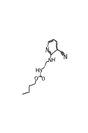 CCCCOC(=O)NCCNc1ncccc1C#N